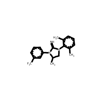 Cc1cccc(C)c1N1CC(C)N(c2cccc(C(F)(F)F)c2)C1=N